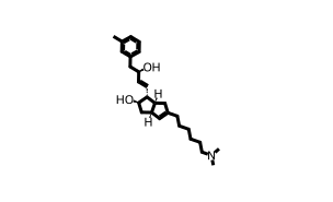 Cc1cccc(C[C@@H](O)/C=C/[C@@H]2[C@H]3CC(CCCCCCN(C)C)=C[C@H]3C[C@H]2O)c1